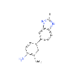 CNC1=C(N)C=CC(c2ccc3[nH]c(C)nc3c2)C1